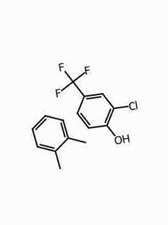 Cc1ccccc1C.Oc1ccc(C(F)(F)F)cc1Cl